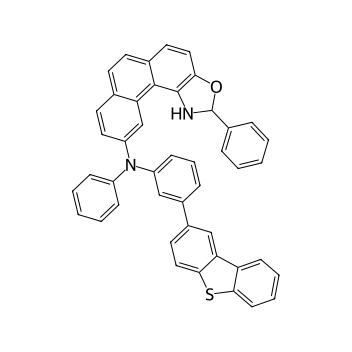 c1ccc(C2Nc3c(ccc4ccc5ccc(N(c6ccccc6)c6cccc(-c7ccc8sc9ccccc9c8c7)c6)cc5c34)O2)cc1